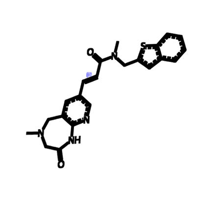 CN1CC(=O)Nc2ncc(/C=C/C(=O)N(C)Cc3cc4ccccc4s3)cc2C1